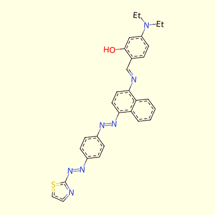 CCN(CC)c1ccc(/C=N/c2ccc(/N=N/c3ccc(/N=N/c4nccs4)cc3)c3ccccc23)c(O)c1